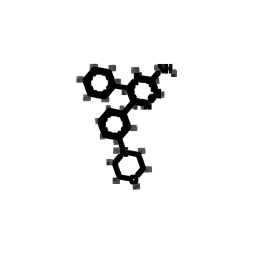 Nc1nnc(-c2cccc(N3CCOCC3)c2)c(-c2ccccc2)n1